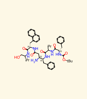 CC(C)C(CO)NC(=O)[C@H](Cc1cccc2ccccc12)NC(=O)C[C@H](N)[C@H](Cc1ccccc1)NC(=O)C(NC(=O)[C@H](Cc1ccccc1)NC(=O)OC(C)(C)C)C(C)C